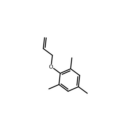 C=CCOc1c(C)cc(C)cc1C